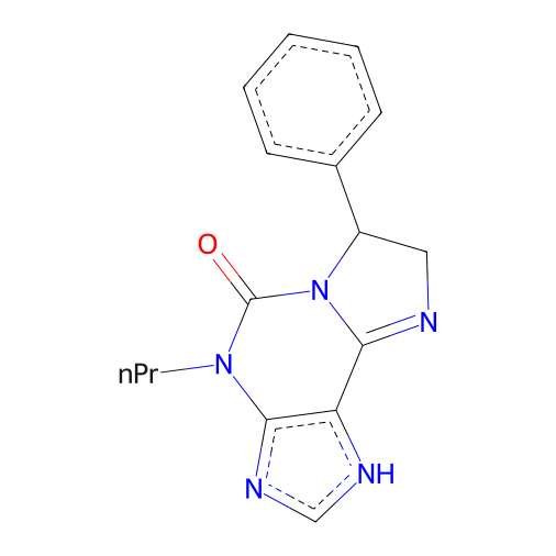 CCCN1C(=O)N2C(=NCC2c2ccccc2)c2[nH]cnc21